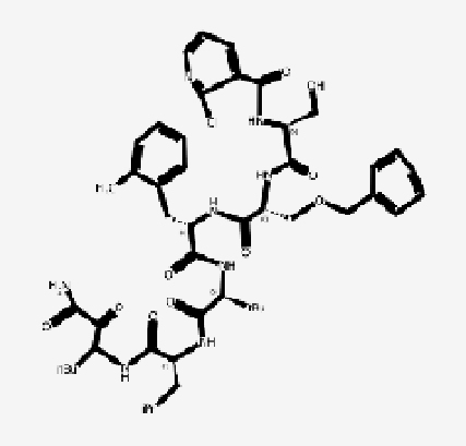 CCCCC(NC(=O)[C@H](CC(C)C)NC(=O)[C@@H](NC(=O)[C@H](Cc1ccccc1C)NC(=O)[C@@H](COCc1ccccc1)NC(=O)[C@H](CO)NC(=O)c1cccnc1Cl)C(C)(C)C)C(=O)C(N)=O